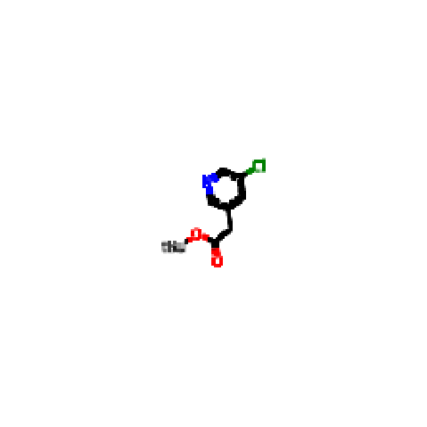 CC(C)(C)OC(=O)Cc1cncc(Cl)c1